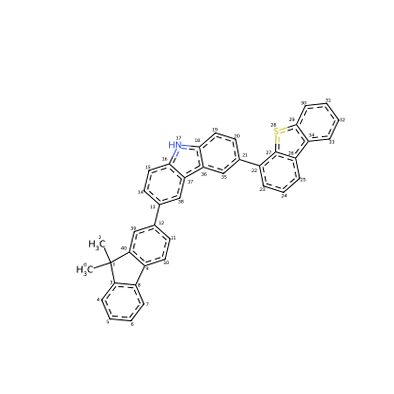 CC1(C)c2ccccc2-c2ccc(-c3ccc4[nH]c5ccc(-c6cccc7c6sc6ccccc67)cc5c4c3)cc21